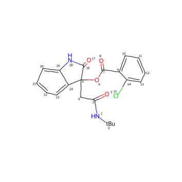 CC(C)(C)NC(=O)CC1(OC(=O)c2ccccc2Cl)C(=O)Nc2ccccc21